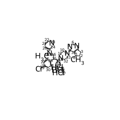 C[C@@H]1CCc2ncnc(N3CCN(C(=O)C(CN(C)c4cccnc4)c4ccc(Cl)cc4)CC3)c21.Cl.Cl.Cl